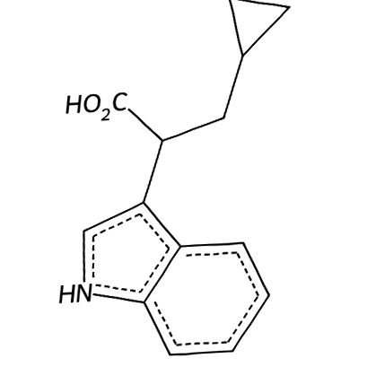 O=C(O)C(CC1CC1)c1c[nH]c2ccccc12